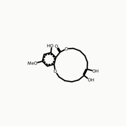 COc1cc(O)c2c(c1)OCCCCC(O)=C(O)CCCCOC2=O